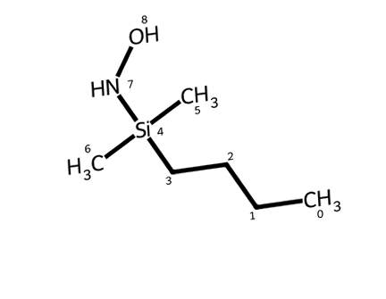 CCCC[Si](C)(C)NO